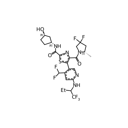 CCC(Nc1cc(C(F)F)c(-c2sc(C(=O)N[C@@H]3CC[C@@H](O)C3)nc2C(=O)N2CC(F)(F)C[C@@H]2C)cn1)C(F)(F)F